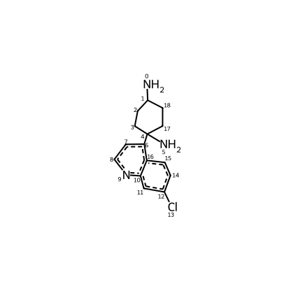 NC1CCC(N)(c2ccnc3cc(Cl)ccc23)CC1